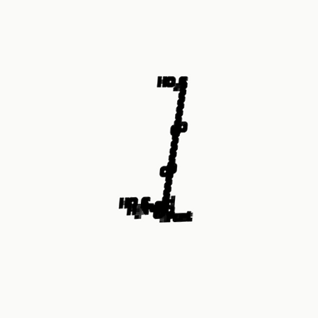 CCCCCC(OC(=O)CC[C@@H](N)C(=O)O)C(O)CCCCCCCCCCC(=O)OCCCCCCCCCCOC(=O)CCCCCCCCCCCCC(=O)O